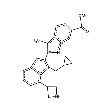 COC(=O)c1ccc2c(C)c(-c3cc4cccc(C5CNC5)c4n3CC3CC3)nn2c1